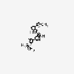 Cc1ccc(-c2cccc3[nH]c(-c4n[nH]c5ncc(-c6cncc(CN(C)C)c6)cc45)cc23)s1